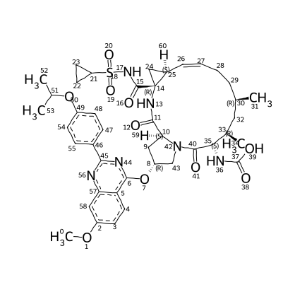 COc1ccc2c(O[C@@H]3C[C@H]4C(=O)N[C@]5(C(=O)NS(=O)(=O)C6CC6)C[C@H]5C=CCC[C@@H](C)C[C@@H](C)[C@H](NC(=O)O)C(=O)N4C3)nc(-c3ccc(OC(C)C)cc3)nc2c1